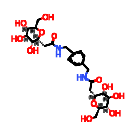 O=C(C[C@H]1O[C@H](CO)[C@@H](O)[C@H](O)[C@H]1O)NCc1ccc(CNC(=O)C[C@H]2O[C@H](CO)[C@@H](O)[C@H](O)[C@H]2O)cc1